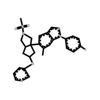 Cc1cc2c(cnn2-c2ccc(F)cc2)cc1C12CC(Oc3cccnc3)CC1CN(S(C)(=O)=O)C2